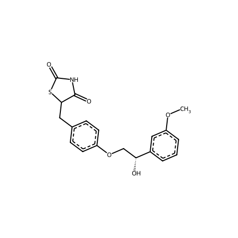 COc1cccc([C@H](O)COc2ccc(CC3SC(=O)NC3=O)cc2)c1